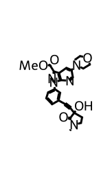 COC(=O)c1nn(-c2cccc(C#CC3(O)CCN(C)C3=O)c2)c2ncc(N3CCOCC3)cc12